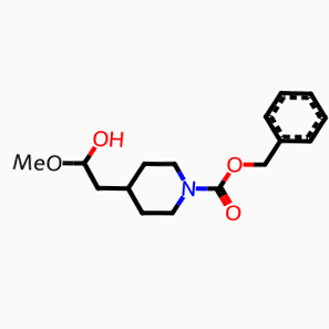 COC(O)CC1CCN(C(=O)OCc2ccccc2)CC1